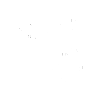 Nc1ncc(C#Cc2cc(C(=O)NC(CO)c3cccc(F)c3)ccc2OC(F)F)cn1